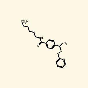 CC(SSc1ccccn1)c1ccc(C(=O)NCCCCCC(=O)O)cc1